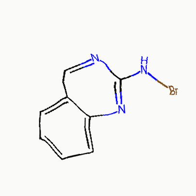 BrNc1ncc2ccccc2n1